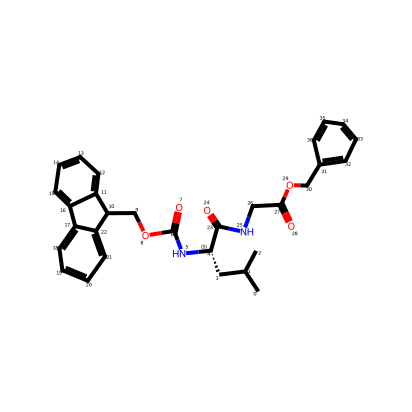 CC(C)C[C@H](NC(=O)OCC1c2ccccc2-c2ccccc21)C(=O)NCC(=O)OCc1ccccc1